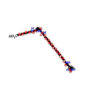 O=C(O)CCOCCOCCOCCOCCNC(=O)COc1cccc(C(=O)NCCNC(=O)CCOCCOCCOCCOCCOCCOCCOCCOCCOCCOCCOCCOCCNC(=O)CCCC[C@@H]2SC[C@@H]3NC(=O)N[C@@H]32)c1